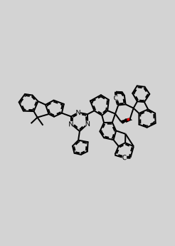 CC1(C)c2ccccc2-c2ccc(-c3nc(-c4ccccc4)nc(-c4cccc5c4-c4ccc6c(c4C54c5ccccc5C5(c7ccccc7-c7ccccc75)c5ccccc54)C4c5cccc-6c54)n3)cc21